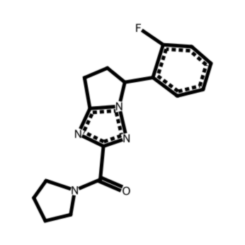 O=C(c1nc2n(n1)C(c1ccccc1F)CC2)N1CCCC1